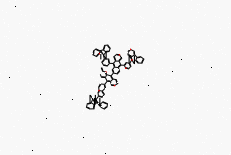 C=C/C=c1/c(-c2ccc3c(-c4cccc(-n5c6ccccc6c6ccccc65)c4)c4ccccc4c(-c4cccc(-n5c6ccccc6c6ccccc65)c4)c3c2)c2ccccc2c(-c2ccc3cc(-c4nc5ccccc5n4-c4ccccc4)ccc3c2)/c1=C/C